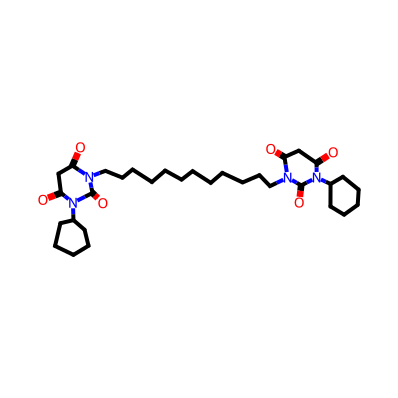 O=C1CC(=O)N(C2CCCCC2)C(=O)N1CCCCCCCCCCCCN1C(=O)CC(=O)N(C2CCCCC2)C1=O